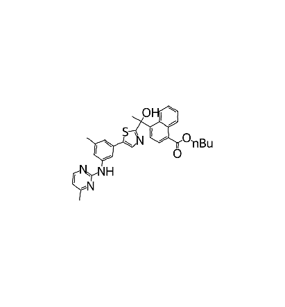 CCCCOC(=O)c1ccc(C(C)(O)c2ncc(-c3cc(C)cc(Nc4nccc(C)n4)c3)s2)c2ccccc12